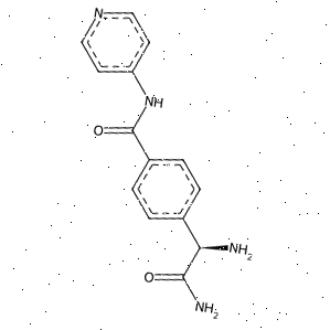 NC(=O)[C@H](N)c1ccc(C(=O)Nc2ccncc2)cc1